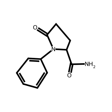 NC(=O)C1CCC(=O)N1c1ccccc1